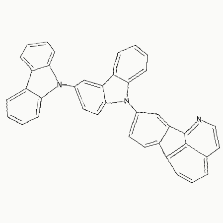 c1cc2c3c(nccc3c1)-c1cc(-n3c4ccccc4c4cc(-n5c6ccccc6c6ccccc65)ccc43)ccc1-2